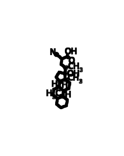 C[C@H](CC(C#N)C(=O)O)[C@@]1(O)CC[C@H]2[C@@H]3CCC4CCCC[C@]4(C)[C@H]3CC[C@@]21C